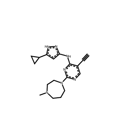 C#Cc1cnc(N2CCCN(C)CC2)nc1Nc1cc(C2CC2)[nH]n1